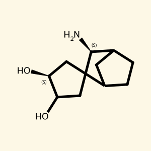 N[C@H]1C2CCC(C2)C12CC(O)[C@@H](O)C2